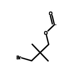 CC(C)(CBr)CO[C]=O